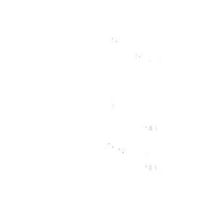 CN1CCN(C(=O)C(C)(C)c2ccc(Nc3cc(-c4c(F)cccc4F)nnc3C(N)=O)cc2)CC1